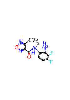 Cc1nonc1C(=O)Nc1ccc(F)c(F)c1N